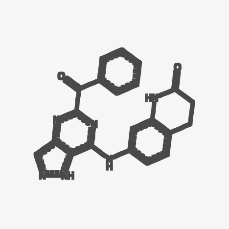 O=C1CCc2ccc(Nc3nc(C(=O)c4ccccc4)nc4cn[nH]c34)cc2N1